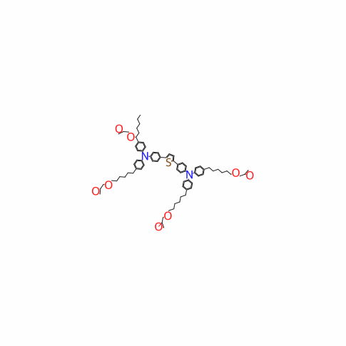 CCCCCC(OCC1CO1)c1ccc(N(c2ccc(CCCCCCOCC3CO3)cc2)c2ccc(-c3ccc(-c4ccc(N(c5ccc(CCCCCCOCC6CO6)cc5)c5ccc(CCCCCCOCC6CO6)cc5)cc4)s3)cc2)cc1